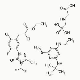 CCNc1nc(NC(C)(C)C)nc(SC)n1.CCOC(=O)C(Cl)Cc1cc(-n2nc(C)n(C(F)F)c2=O)c(F)cc1Cl.O=C(O)CNCP(=O)(O)O